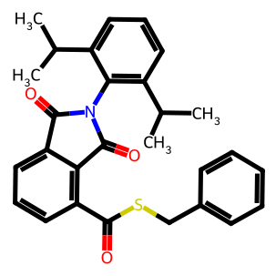 CC(C)c1cccc(C(C)C)c1N1C(=O)c2cccc(C(=O)SCc3ccccc3)c2C1=O